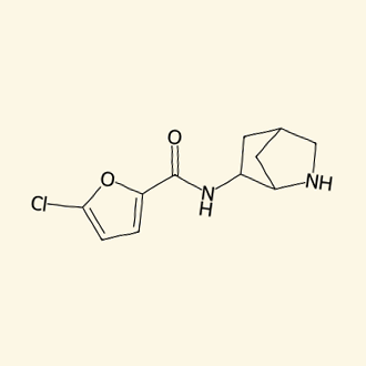 O=C(NC1CC2CNC1C2)c1ccc(Cl)o1